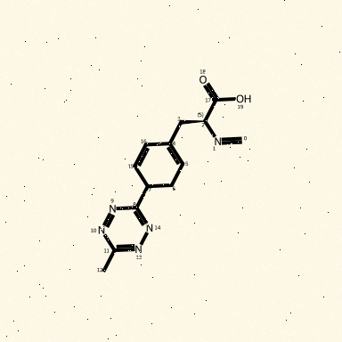 C=N[C@@H](CC1=CCC(c2nnc(C)nn2)C=C1)C(=O)O